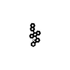 C1=Cc2oc3c(-c4c5ccccc5c(-c5ccc6ccccc6c5)c5ccccc45)cccc3c2CC1